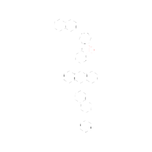 CC1(C)c2c(ccc3ccccc23)-c2ccc3oc4cc(-c5c6ccccc6c(-c6ccc7cc(-c8ccccc8)ccc7c6)c6ccccc56)ccc4c3c21